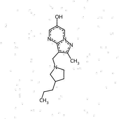 CCCC1CCN(Cc2c(C)nn3cc(O)cnc23)C1